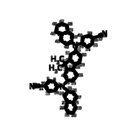 CC1(C)c2cc(N(c3ccc(C#N)cc3)c3ccc4ccccc4c3)ccc2-c2ccc(N(c3ccc(C#N)cc3)c3ccc4ccccc4c3)cc21